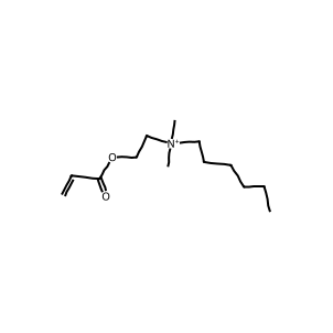 C=CC(=O)OCC[N+](C)(C)CCCCCC